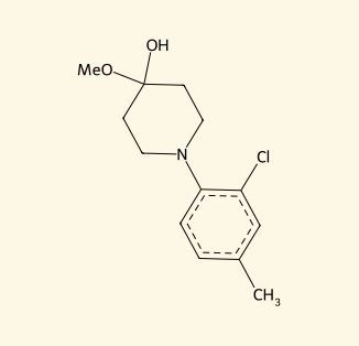 COC1(O)CCN(c2ccc(C)cc2Cl)CC1